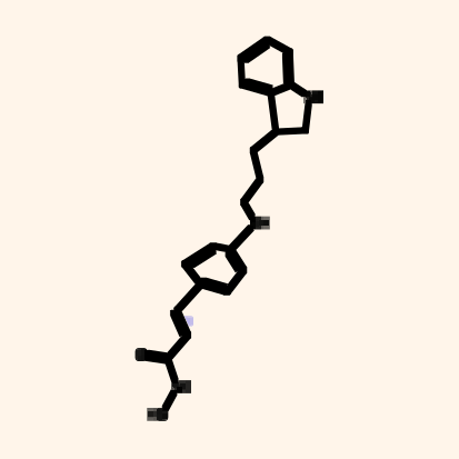 O=C(/C=C/c1ccc(NCCCC2CNc3ccccc32)cc1)NO